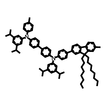 CCCCCCCCC1(CCCCCCCC)c2cc(C)ccc2-c2ccc(-c3ccc(N(c4ccc(-c5ccc(N(c6ccc(C)cc6)c6cc(C(C)C)cc(C(C)C)c6)cc5)cc4)c4cc(C(C)C)cc(C(C)C)c4)cc3)cc21